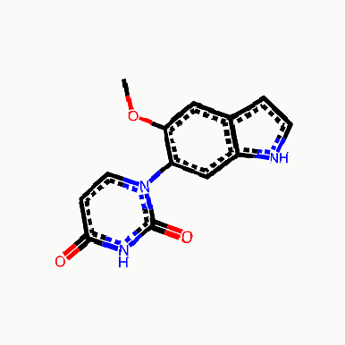 COc1cc2cc[nH]c2cc1-n1ccc(=O)[nH]c1=O